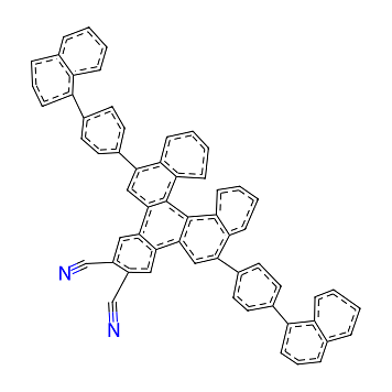 N#Cc1cc2c(cc1C#N)c1cc(-c3ccc(-c4cccc5ccccc45)cc3)c3ccccc3c1c1c3ccccc3c(-c3ccc(-c4cccc5ccccc45)cc3)cc21